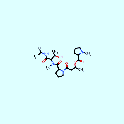 CC(C=O)NC(=O)C(C(C)O)N(C)C(=O)C1CCCN1C(=O)CC(C)OC(=O)C1CCCN1C